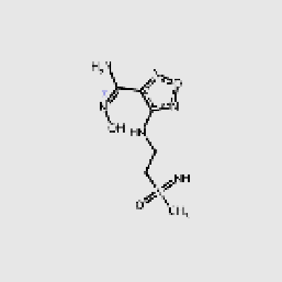 CS(=N)(=O)CCNc1nonc1/C(N)=N\O